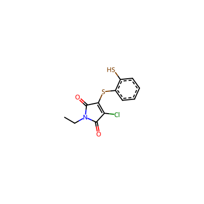 CCN1C(=O)C(Cl)=C(Sc2ccccc2S)C1=O